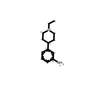 CCN1CCC(c2cccc(N)c2)CC1